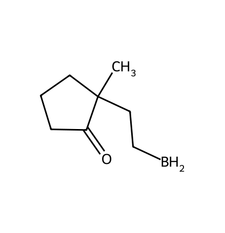 BCCC1(C)CCCC1=O